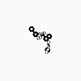 COc1ccc(C2CCCCC2)cc1NC(=O)C(=O)c1ccc(OCCN2CCOCC2)c2ccccc12